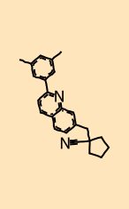 Cc1cc(C)cc(-c2ccc3ccc(CC4(C#N)CCCC4)cc3n2)c1